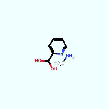 NC(=O)O.OC(O)c1ccccn1